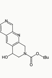 CC(C)(C)OC(=O)N1Cc2nc3cnccc3cc2C(O)C1